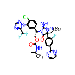 CC(NC(=O)OC[C@H](c1ccc(Cl)c(-n2ncnc2C(F)F)c1)N1C(=N)N[C@](CC(C)(C)C)(c2ccc(-c3ncccn3)cc2F)C1=O)C(F)(F)F